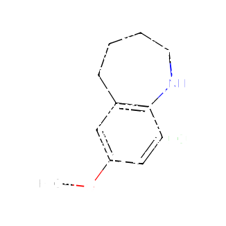 COc1ccc2c(c1)CCCCN2.Cl